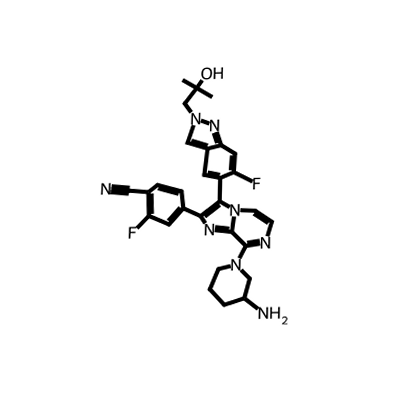 CC(C)(O)Cn1cc2cc(-c3c(-c4ccc(C#N)c(F)c4)nc4c(N5CCCC(N)C5)nccn34)c(F)cc2n1